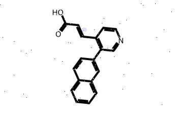 O=C(O)/C=C/c1ccncc1-c1ccc2ccccc2c1